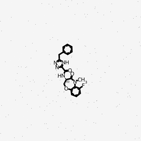 CN1C(=O)[C@@H](NC(=O)c2nnc(Cc3ccccc3)[nH]2)COc2cccc(F)c21